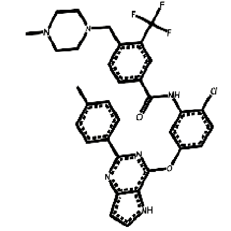 Cc1ccc(-c2nc(Oc3ccc(Cl)c(NC(=O)c4ccc(CN5CCN(C)CC5)c(C(F)(F)F)c4)c3)c3[nH]ccc3n2)cc1